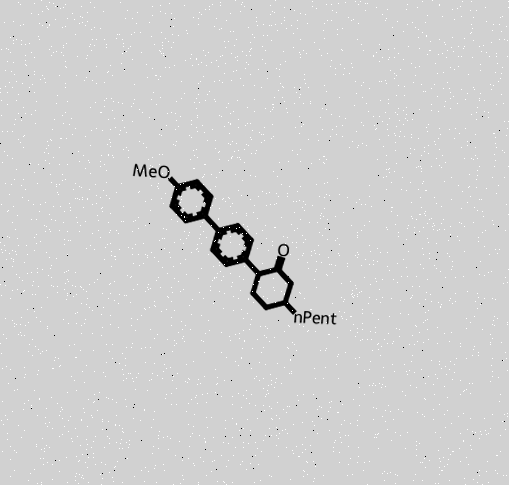 CCCCCC1CCC(c2ccc(-c3ccc(OC)cc3)cc2)C(=O)C1